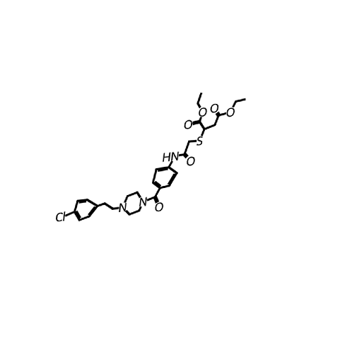 CCOC(=O)CC(SCC(=O)Nc1ccc(C(=O)N2CCN(CCc3ccc(Cl)cc3)CC2)cc1)C(=O)OCC